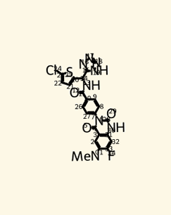 CNc1cc2c(=O)n(-c3ccc(C(=O)NC(c4nnn[nH]4)c4ccc(Cl)s4)cc3)c(=O)[nH]c2cc1F